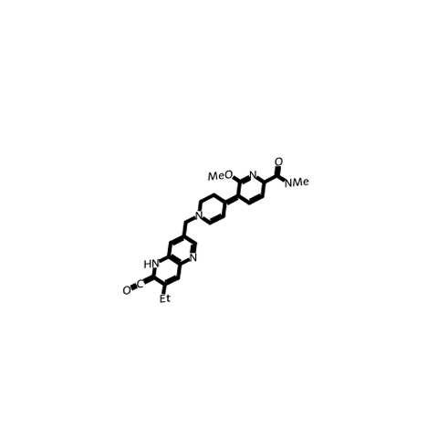 CCC1=Cc2ncc(CN3C=CC(=C4C=CC(C(=O)NC)N=C4OC)CC3)cc2NC1=C=O